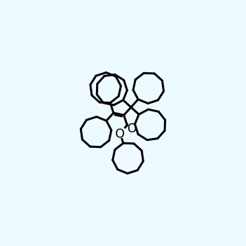 O=C(OC1CCCCCCCC1)C(=C(C1CCCCCCCC1)C1CCCCCCCC1)C(C1CCCCCCCC1)(C1CCCCCCCC1)C1CCCCCCCC1